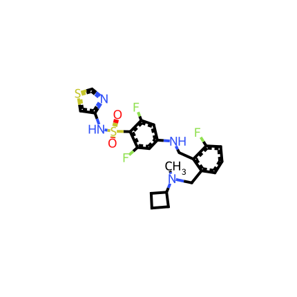 CN(Cc1cccc(F)c1CNc1cc(F)c(S(=O)(=O)Nc2cscn2)c(F)c1)C1CCC1